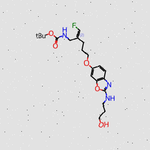 CC(C)(C)OC(=O)NC/C(=C\F)CCCOc1ccc2nc(NCCCO)oc2c1